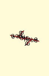 CCCCOC(=O)CCCCC(O)CN(CCCSSCCN1CCN(CCOC(=O)CCCN(CC(O)CCCCC(=O)OCCCC)CC(O)CCCCC(=O)OCCCC)CC1)CC(O)CCCCC(=O)OCCCC